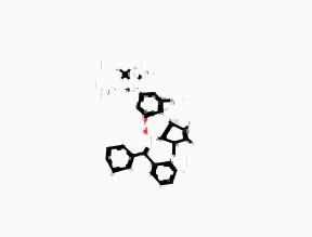 CC1=C(C)C(C)[C]([Ti]([O]c2cc(C)cc([Si](C)(C)C(C)(C)C)c2)=[C](c2ccccc2)c2ccccc2)=C1C